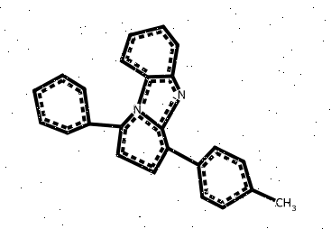 Cc1ccc(-c2ccc(-c3ccccc3)n3c2nc2ccccc23)cc1